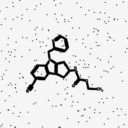 CCOC(=O)NC1Cc2c(n(Cc3ccccn3)c3ccc(C#N)cc23)C1